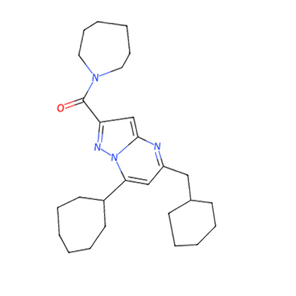 O=C(c1cc2nc(CC3CCCCC3)cc(C3CCCCCC3)n2n1)N1CCCCCC1